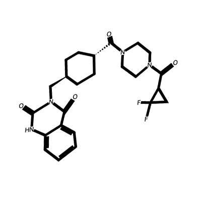 O=C(C1CC1(F)F)N1CCN(C(=O)[C@H]2CC[C@H](Cn3c(=O)[nH]c4ccccc4c3=O)CC2)CC1